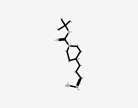 CC(C)(C)OC(=O)N1CCC(CC/C=N\O)CC1